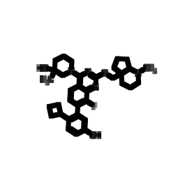 CN1CCCC2(COc3nc(N4CCCC(C)(O)C4)c4ccc(-c5cc(O)ccc5C5CCC5)c(F)c4n3)CCCC12